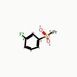 CC(C)S(=O)(=O)c1cc[c]c(F)c1